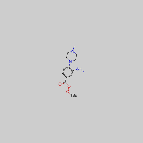 CN1CCN(c2ccc(C(=O)OOC(C)(C)C)cc2N)CC1